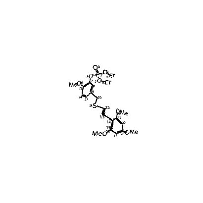 CCOP(=O)(OCC)Oc1cc(CS/C=C/c2c(OC)cc(OC)cc2OC)ccc1OC